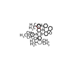 Cc1cc(C(C)(C)C)ccc1N1c2cc3c(cc2B2c4ccc5oc6ccccc6c5c4N(c4ccccc4-c4ccccc4)c4cc(C(C)(C)C)cc1c42)C(C)(C)CCC3(C)C